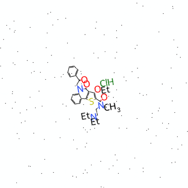 CCOc1c(C(=O)N(C)CCN(CC)CC)sc2c1c(=O)n(CC(=O)c1ccccc1)c1ccccc21.Cl